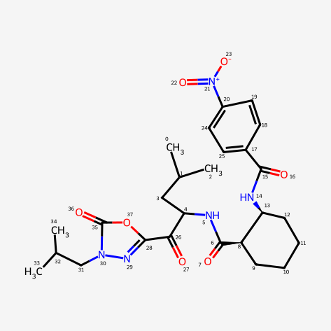 CC(C)CC(NC(=O)[C@@H]1CCCC[C@@H]1NC(=O)c1ccc([N+](=O)[O-])cc1)C(=O)c1nn(CC(C)C)c(=O)o1